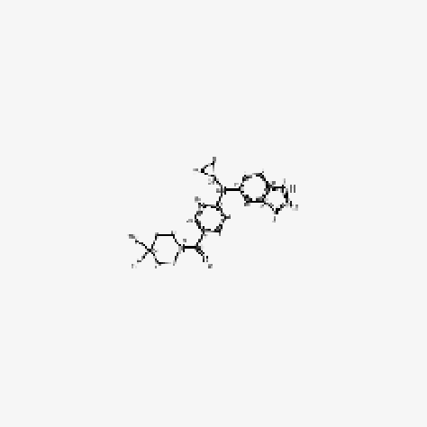 O=C(c1ccc(N(c2ccc3[nH]nnc3c2)C2CC2)nc1)N1CCC(F)(F)CC1